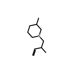 C=CC(C)CN1CCCC(C)C1